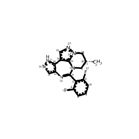 C[C@@H]1CN2C(c3c(F)cccc3F)=Nc3cn[nH]c3-c3cnn(c32)C1